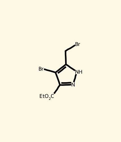 CCOC(=O)c1n[nH]c(CBr)c1Br